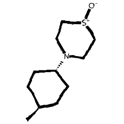 C[C@H]1CC[C@H](N2CC[S+]([O-])CC2)CC1